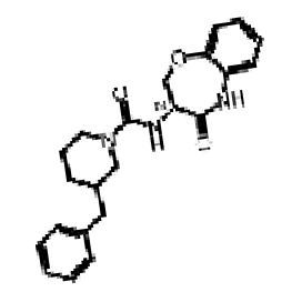 O=C1Nc2ccccc2OC[C@@H]1NC(=O)N1CCCC(Cc2ccccc2)C1